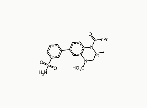 CCCC(=O)N1c2ccc(-c3cccc(S(N)(=O)=O)c3)cc2N(C(=O)O)C[C@@H]1C